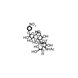 CC(=O)N[C@H]1C([C@H](O)[C@H](O)CO)O[C@@](OC2[C@@H](O)C(CO)O[C@@H](O[C@@H]3C(CO)O[C@@H](Oc4ccc([N+](=O)[O-])cc4)[C@@H](O)C3O)[C@H]2O)(C(=O)O)[C@@H](F)C1O